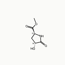 COC(=O)[C@@H]1C[C@@H](O)C(=O)N1